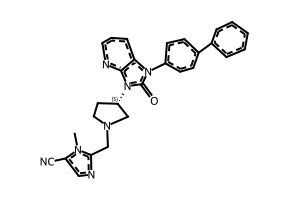 Cn1c(C#N)cnc1CN1CC[C@H](n2c(=O)n(-c3ccc(-c4ccccc4)cc3)c3cccnc32)C1